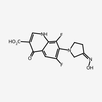 O=C(O)c1c[nH]c2c(F)c(N3CCC(=NO)C3)c(F)cc2c1=O